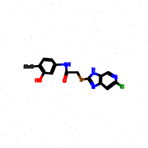 COc1ccc(NC(=O)CSc2nc3cc(Cl)ncc3[nH]2)cc1O